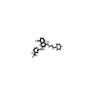 FC(F)(F)c1ccnc(Nc2cc(NCCCN3CCCCC3)c3cccc(Cl)c3n2)c1